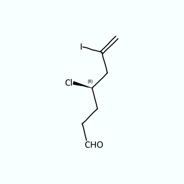 C=C(I)C[C@H](Cl)CCC=O